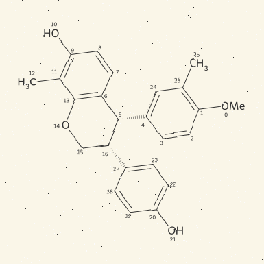 COc1ccc([C@H]2c3ccc(O)c(C)c3OC[C@H]2c2ccc(O)cc2)cc1C